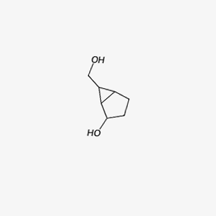 OCC1C2CCC(O)C12